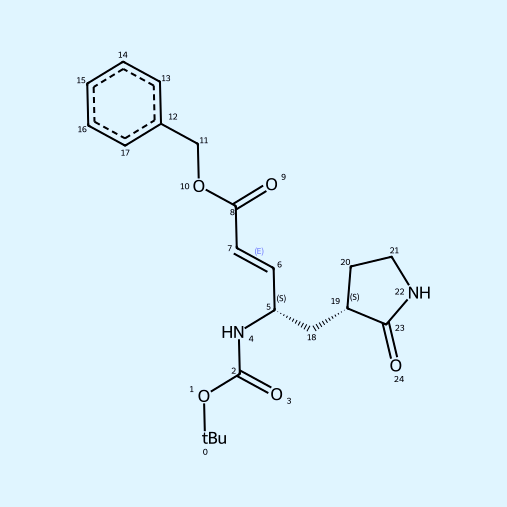 CC(C)(C)OC(=O)N[C@H](/C=C/C(=O)OCc1ccccc1)C[C@@H]1CCNC1=O